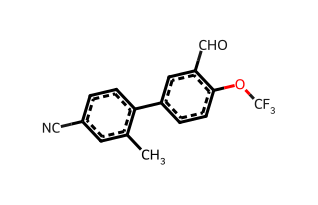 Cc1cc(C#N)ccc1-c1ccc(OC(F)(F)F)c(C=O)c1